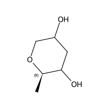 C[C@H]1OCC(O)CC1O